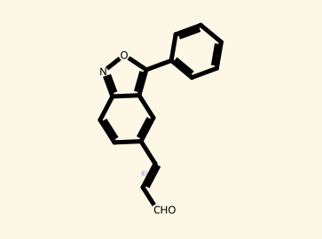 O=C/C=C/c1ccc2noc(-c3ccccc3)c2c1